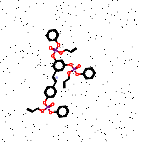 C=CCOP(=O)(Oc1ccccc1)Oc1ccc(/C=C/c2cc(OP(=O)(OCC=C)Oc3ccccc3)cc(OP(=O)(OCC=C)Oc3ccccc3)c2)cc1